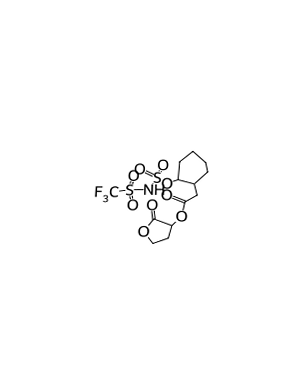 O=C(CC1CCCCC1OS(=O)(=O)NS(=O)(=O)C(F)(F)F)OC1CCOC1=O